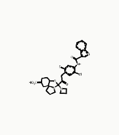 O=C(Nc1cc(F)c(CC(=O)C(OC2CCC(C(=O)O)CC2)(N2CCCC2)N2CCC2)cc1Cl)c1csc2ccccc12